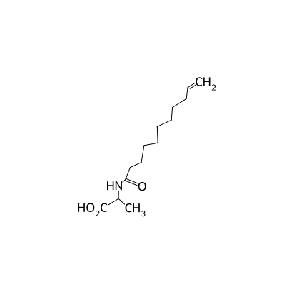 C=CCCCCCCCCC(=O)NC(C)C(=O)O